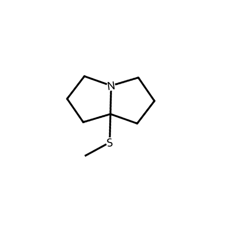 CSC12CCCN1CCC2